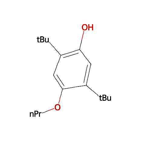 [CH2]CCOc1cc(C(C)(C)C)c(O)cc1C(C)(C)C